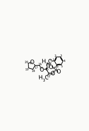 Cc1ccccc1S(=O)(=O)O[C@@H](C)C(=O)OCC1CCCO1